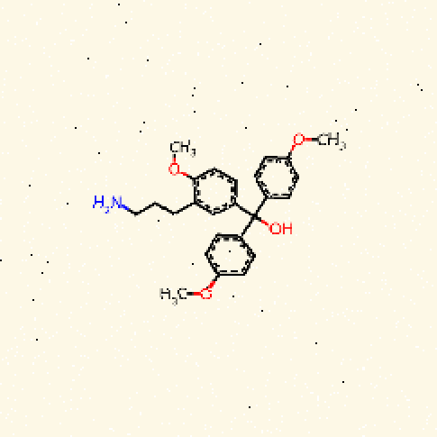 COc1ccc(C(O)(c2ccc(OC)cc2)c2ccc(OC)c(CCCN)c2)cc1